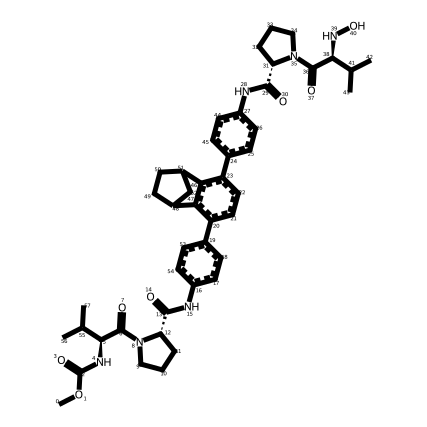 COC(=O)N[C@H](C(=O)N1CCC[C@H]1C(=O)Nc1ccc(-c2ccc(-c3ccc(NC(=O)[C@@H]4CCCN4C(=O)[C@@H](NO)C(C)C)cc3)c3c2C2CCC3C2)cc1)C(C)C